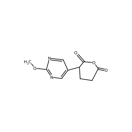 COc1ncc(C2CCC(=O)OC2=O)cn1